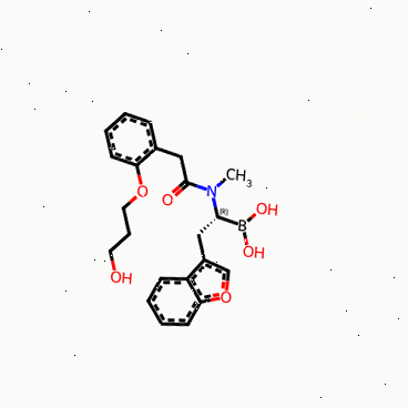 CN(C(=O)Cc1ccccc1OCCCO)[C@@H](Cc1coc2ccccc12)B(O)O